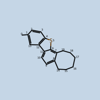 Cc1ccc2sc3c4c(ccc3c2c1)CCCCCC4